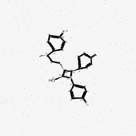 Cc1ccc([C@@H]2[C@@H](CC[C@H](C)c3ccc(F)cc3)[C@H](O)N2c2ccc(F)cc2)cc1